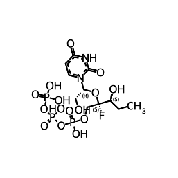 CC[C@H](O)[C@@](F)(COP(=O)(O)OP(=O)(O)OP(=O)(O)O)O[C@H](CO)n1ccc(=O)[nH]c1=O